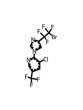 FC(F)(F)c1cnc(-n2cnc(C(F)(F)C(F)(F)Br)c2)c(Cl)c1